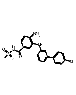 CS(=O)(=O)NC(=O)c1ccc(N)c(Nc2cccc(-c3ccc(Cl)cc3)c2)c1